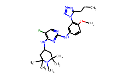 CCCc1nnnn1-c1cc(Nc2ncc(F)c(NC3CC(C)(C)N(C)C(C)(C)C3)n2)ccc1OC